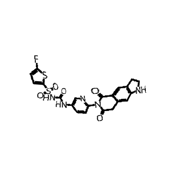 O=C(Nc1ccc(N2C(=O)Cc3cc4c(cc3C2=O)CCN4)nc1)NS(=O)(=O)c1ccc(F)s1